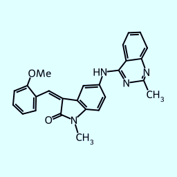 COc1ccccc1/C=C1\C(=O)N(C)c2ccc(Nc3nc(C)nc4ccccc34)cc21